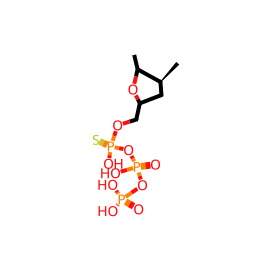 CC1OC(COP(O)(=S)OP(=O)(O)OP(=O)(O)O)C[C@@H]1C